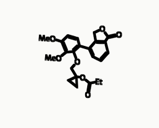 CCC(=O)OC1(COc2c(-c3cccc4c3COC4=O)ccc(OC)c2OC)CC1